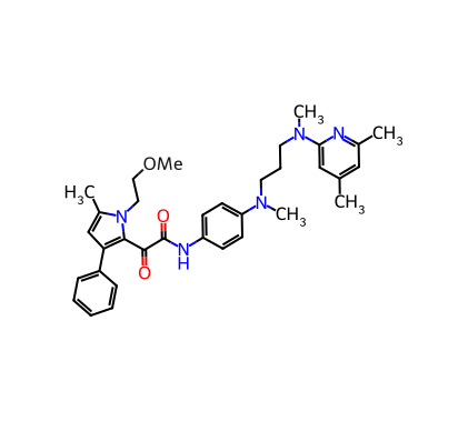 COCCn1c(C)cc(-c2ccccc2)c1C(=O)C(=O)Nc1ccc(N(C)CCCN(C)c2cc(C)cc(C)n2)cc1